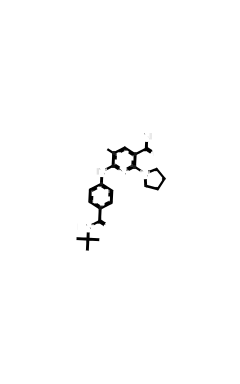 CC(C)(C)NC(=O)c1ccc(Nc2nc(N3CCCC3)c(C(N)=O)cc2F)cc1